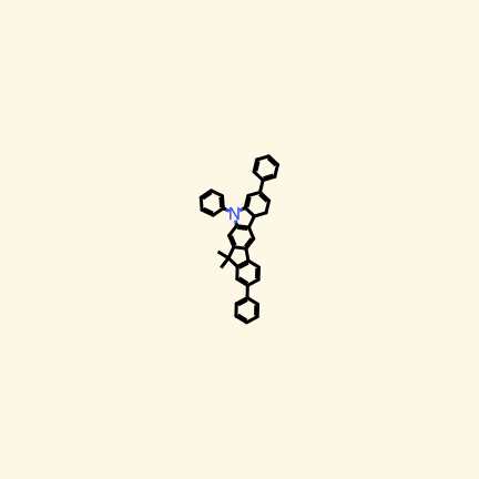 CC1(C)c2cc(-c3ccccc3)ccc2-c2cc3c(cc21)N(c1ccccc1)C1=CC(c2ccccc2)=CCC13